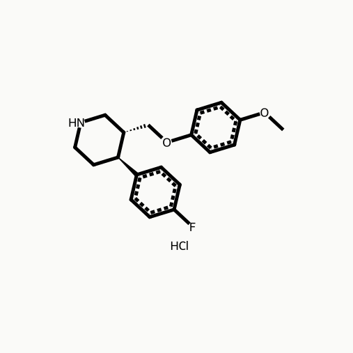 COc1ccc(OC[C@H]2CNCC[C@@H]2c2ccc(F)cc2)cc1.Cl